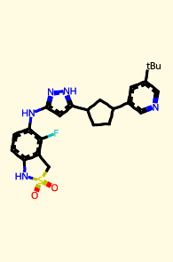 CC(C)(C)c1cncc(C2CCC(c3cc(Nc4ccc5c(c4F)CS(=O)(=O)N5)n[nH]3)C2)c1